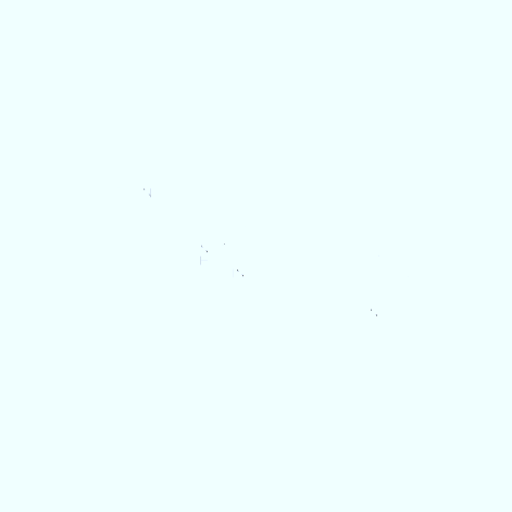 Cc1csc(-c2ccc(NC(=O)NCc3cc(C)on3)cc2)n1